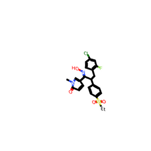 CCS(=O)(=O)c1ccc(C(Cc2ccc(Cl)cc2F)C(=NO)c2ccc(=O)n(C)c2)cc1